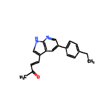 CCc1ccc(-c2cnc3[nH]cc(/C=C/C(C)=O)c3c2)cc1